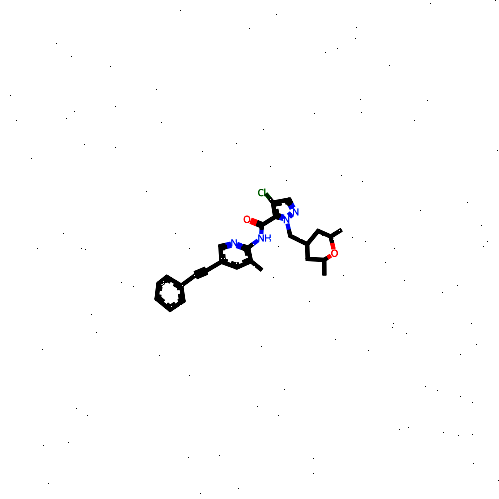 Cc1cc(C#Cc2ccccc2)cnc1NC(=O)c1c(Cl)cnn1CC1CC(C)OC(C)C1